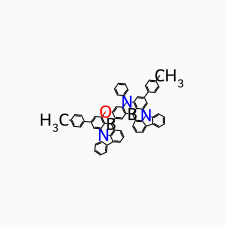 Cc1ccc(-c2cc3c4c(c2)-n2c5ccccc5c5cccc(c52)B4c2cc4c(cc2O3)N(c2ccccc2)c2cc(-c3ccc(C)cc3)cc3c2B4c2cccc4c5ccccc5n-3c24)cc1